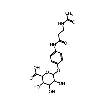 CC(=O)NCCC(=O)Nc1ccc(OC2OC(C(=O)O)C(O)C(O)C2O)cc1